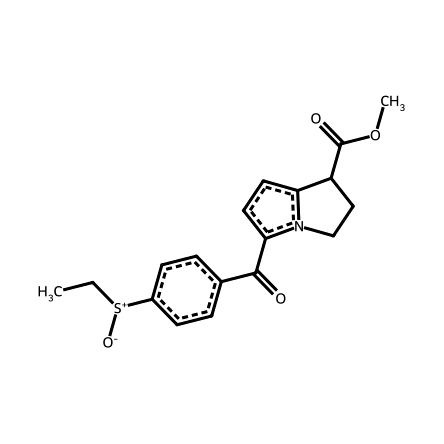 CC[S+]([O-])c1ccc(C(=O)c2ccc3n2CCC3C(=O)OC)cc1